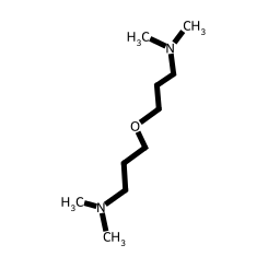 CN(C)CCCOCCCN(C)C